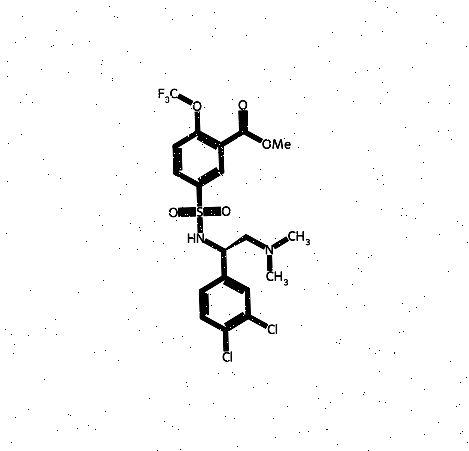 COC(=O)c1cc(S(=O)(=O)N[C@@H](CN(C)C)c2ccc(Cl)c(Cl)c2)ccc1OC(F)(F)F